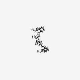 Cc1ccccc1OCC(O)COS(=O)(=O)CCCSc1nnnn1C